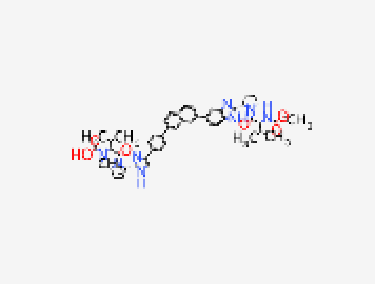 COC(=O)N[C@H](C(=O)N1CCC[C@H]1c1nc2cc(-c3ccc4ccc(-c5ccc(-c6c[nH]c([C@@H]7CCCN7C(=O)[C@H](C(C)C)N(C)C(=O)O)n6)cc5)cc4c3)ccc2[nH]1)C(C)C